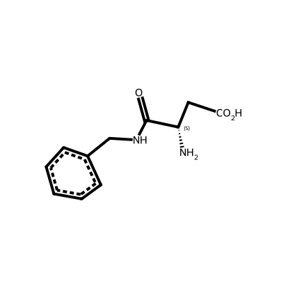 N[C@@H](CC(=O)O)C(=O)NCc1ccccc1